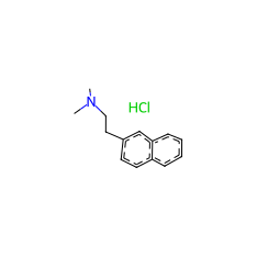 CN(C)CCc1ccc2ccccc2c1.Cl